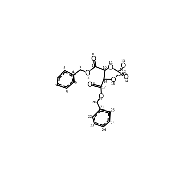 O=C(OCc1ccccc1)C1OS(=O)(=O)OC1C(=O)OCc1ccccc1